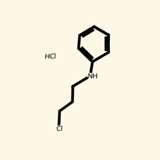 Cl.ClCCCNc1ccccc1